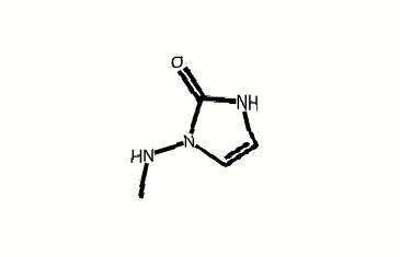 CNn1cc[nH]c1=O